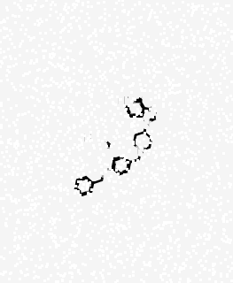 CCOc1cc(CN2CCC(n3cnc4c(=O)[nH]ccc43)CC2)ccc1OCc1ccccc1